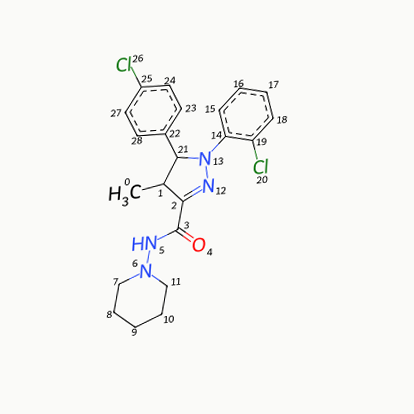 CC1C(C(=O)NN2CCCCC2)=NN(c2ccccc2Cl)C1c1ccc(Cl)cc1